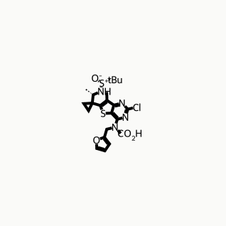 Cc1c(C2([C@H](C)N[S@+]([O-])C(C)(C)C)CC2)sc2c(N(Cc3ccco3)C(=O)O)nc(Cl)nc12